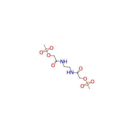 CS(=O)(=O)OCC(=O)NCCNC(=O)COS(C)(=O)=O